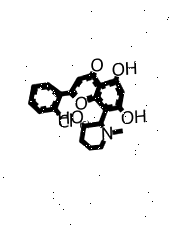 CN1CCC[C@H](O)C1c1c(O)cc(O)c2c(=O)cc(-c3ccccc3Cl)oc12